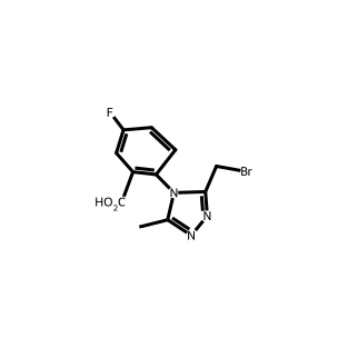 Cc1nnc(CBr)n1-c1ccc(F)cc1C(=O)O